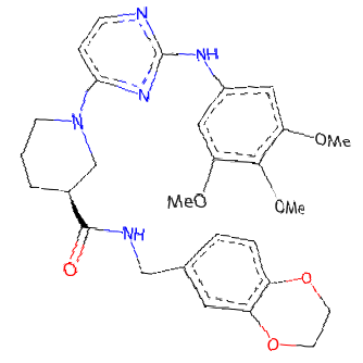 COc1cc(Nc2nccc(N3CCC[C@H](C(=O)NCc4ccc5c(c4)OCCO5)C3)n2)cc(OC)c1OC